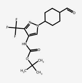 CC(C)(C)OC(=O)Nc1cn(C2CCC(C=O)CC2)nc1C(F)(F)F